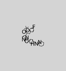 CC(C)(C)OC(=O)C(Cc1ccc(F)cc1)c1ccnc(Oc2ccc(CNC3=NCCCCC3)cc2)n1